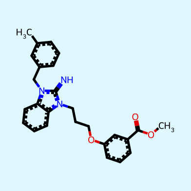 COC(=O)c1cccc(OCCCn2c(=N)n(Cc3cccc(C)c3)c3ccccc32)c1